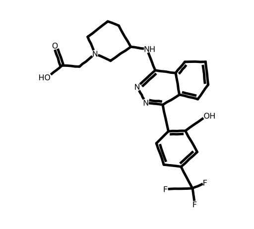 O=C(O)CN1CCCC(Nc2nnc(-c3ccc(C(F)(F)F)cc3O)c3ccccc23)C1